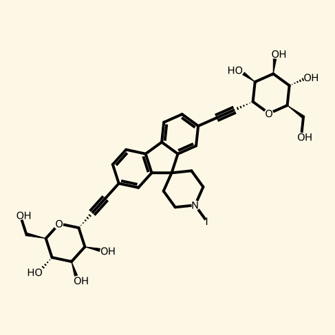 OC[C@H]1O[C@H](C#Cc2ccc3c(c2)C2(CCN(I)CC2)c2cc(C#C[C@H]4O[C@H](CO)[C@@H](O)[C@H](O)[C@@H]4O)ccc2-3)[C@@H](O)[C@@H](O)[C@@H]1O